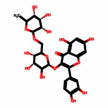 CC1OC(OCC2O[C@@H](Oc3c(-c4ccc(O)c(O)c4)oc4cc(O)cc(O)c4c3=O)C(O)[C@H](O)[C@@H]2O)[C@@H](O)[C@@H](O)[C@H]1O